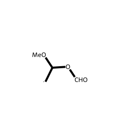 [CH2]C(OC)OC=O